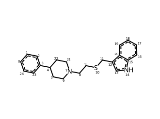 c1ccc(C2CCN(CCSCc3c[nH]c4ccccc34)CC2)cc1